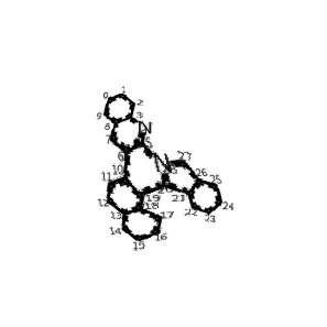 c1ccc2nc3c(cc2c1)c1ccc2ccccc2c1c1c2ccccc2cn31